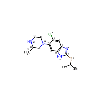 CCC(CC)Sc1nc2cc(Cl)c(N3CCNC(C)C3)cc2[nH]1